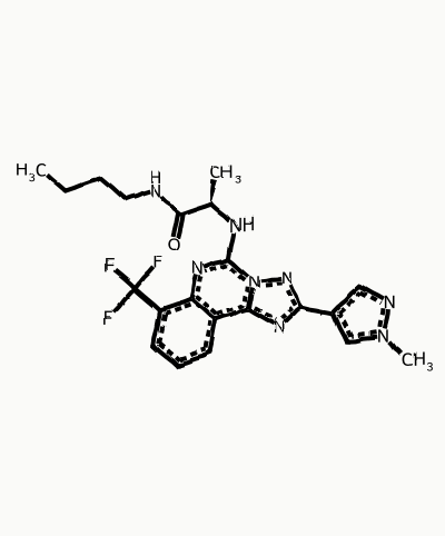 CCCCNC(=O)[C@@H](C)Nc1nc2c(C(F)(F)F)cccc2c2nc(-c3cnn(C)c3)nn12